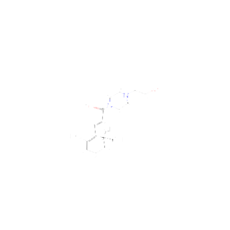 CC1=C(C=CC(=O)N2CCN(CCO)CC2)C(C)(C)CCC1